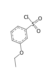 CCOc1cccc(S(=O)(=O)Cl)c1